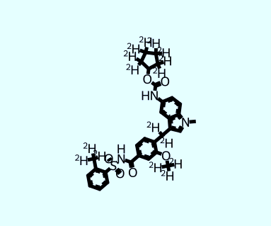 [2H]C([2H])([2H])Oc1cc(C(=O)NS(=O)(=O)c2ccccc2C([2H])([2H])[2H])ccc1C([2H])([2H])c1cn(C)c2ccc(NC(=O)OC3C([2H])([2H])C([2H])([2H])C([2H])([2H])C3([2H])[2H])cc12